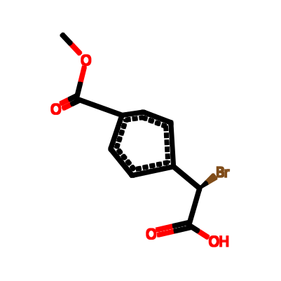 COC(=O)c1ccc([C@@H](Br)C(=O)O)cc1